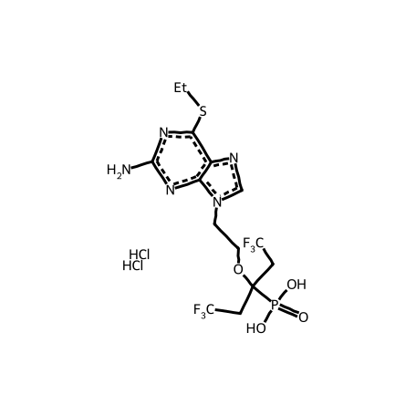 CCSc1nc(N)nc2c1ncn2CCOC(CC(F)(F)F)(CC(F)(F)F)P(=O)(O)O.Cl.Cl